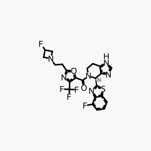 O=C(c1oc(CCN2CC(F)C2)nc1C(F)(F)F)N1CCc2[nH]cnc2[C@H]1c1nc2c(F)cccc2s1